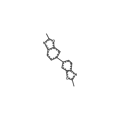 Cc1nc2ccc(-c3ccc4nc(C)oc4c3)cc2o1